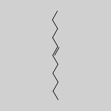 C[CH]CCCC=CCCCC